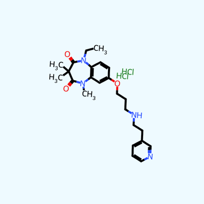 CCN1C(=O)C(C)(C)C(=O)N(C)c2cc(OCCCNCCc3cccnc3)ccc21.Cl.Cl